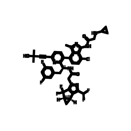 Cn1nc(NC(=O)CNC2CC2)c2c(Cl)ccc(-c3ccc(C#CC(C)(C)O)nc3[C@H](Cc3cc(F)cc(F)c3)NC(=O)Cn3nc(C(F)F)c4c3C(F)(F)[C@@H]3C[C@H]43)c21